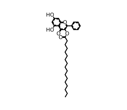 CCCCCCCCCCCCCCCCC(=O)Oc1c(-c2ccccc2)oc2cc(O)cc(O)c2c1=O